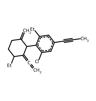 C=C=C1C(CC)CCC(=C)C1c1c(Cl)cc(C#CC)cc1CC